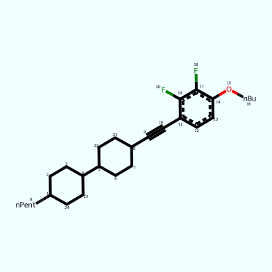 CCCCCC1CCC(C2CCC(C#Cc3ccc(OCCCC)c(F)c3F)CC2)CC1